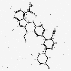 CCOc1nc2cccc(C(=O)O)c2n1Cc1ccc(-c2cc(N3CCCC(C)C3)ccc2C#N)cc1